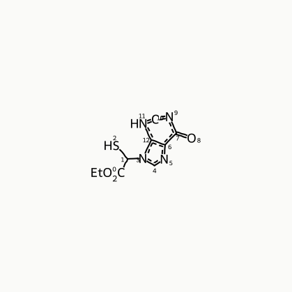 CCOC(=O)C(S)n1cnc2c(=O)nc[nH]c21